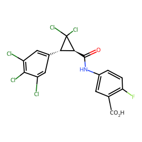 O=C(O)c1cc(NC(=O)[C@H]2[C@H](c3cc(Cl)c(Cl)c(Cl)c3)C2(Cl)Cl)ccc1F